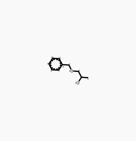 CC([O])COCc1ccccc1